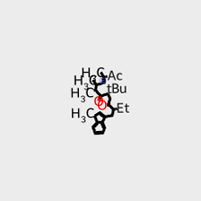 CCC(CC1=CC(C)c2ccccc21)C(=O)CC(C(=O)C(C)C(C)/C=C(\C)C(C)=O)C(C)(C)C